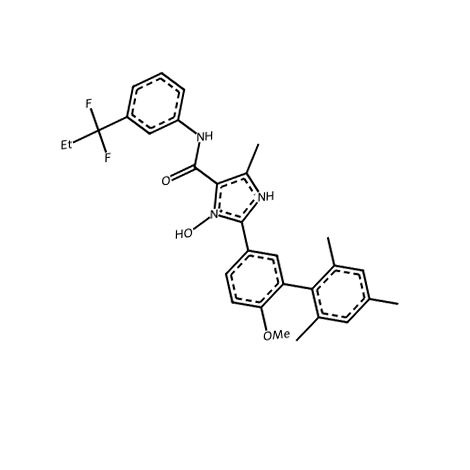 CCC(F)(F)c1cccc(NC(=O)c2c(C)[nH]c(-c3ccc(OC)c(-c4c(C)cc(C)cc4C)c3)[n+]2O)c1